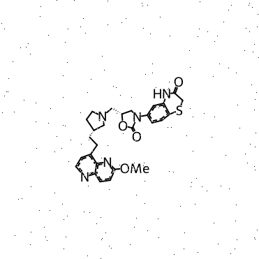 COc1ccc2nccc(CC[C@@H]3CCN(C[C@@H]4CN(c5ccc6c(c5)NC(=O)CS6)C(=O)O4)C3)c2n1